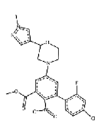 COC(=O)c1cc(N2CCOC(c3cnn(C)c3)C2)cc(-c2ccc(Cl)cc2F)c1[N+](=O)[O-]